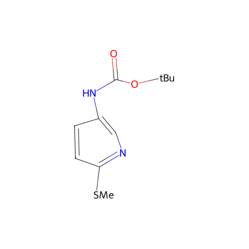 CSc1ccc(NC(=O)OC(C)(C)C)cn1